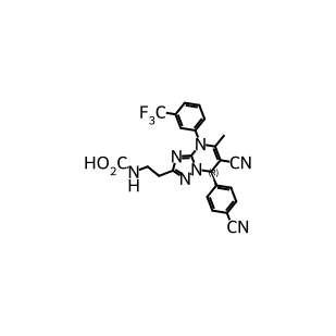 CC1=C(C#N)[C@@H](c2ccc(C#N)cc2)n2nc(CCNC(=O)O)nc2N1c1cccc(C(F)(F)F)c1